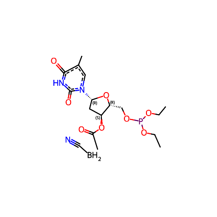 BC#N.CCOP(OCC)OC[C@H]1O[C@@H](n2cc(C)c(=O)[nH]c2=O)C[C@@H]1OC(C)=O